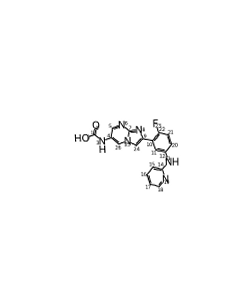 O=C(O)Nc1cnc2nc(-c3cc(Nc4ccccn4)ccc3F)cn2c1